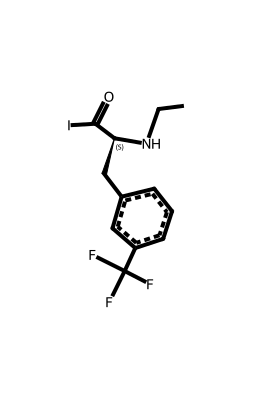 CCN[C@@H](Cc1cccc(C(F)(F)F)c1)C(=O)I